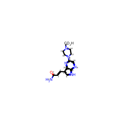 NC(=O)C=Cc1c[nH]c2ncc(N3CCN(C(=O)O)CC3)nc12